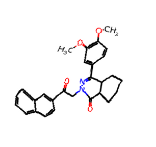 COc1ccc(C2=NN(CC(=O)c3ccc4ccccc4c3)C(=O)C3CCCCC23)cc1OC